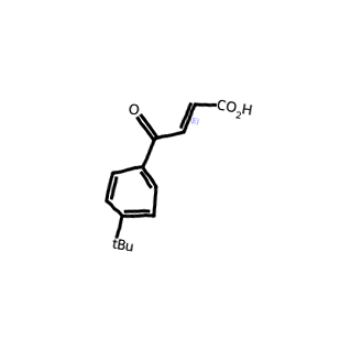 CC(C)(C)c1ccc(C(=O)/C=C/C(=O)O)cc1